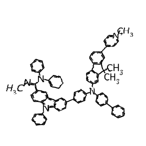 C/N=C(\c1ccc2c(c1)c1cc(-c3ccc(N(c4ccc(-c5ccccc5)cc4)c4ccc5c(c4)C(C)(C)c4cc(-c6cc[n+](C)cc6)ccc4-5)cc3)ccc1n2-c1ccccc1)N(C1=CCCC=C1)c1ccccc1